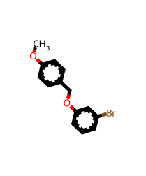 COc1ccc(COc2c[c]cc(Br)c2)cc1